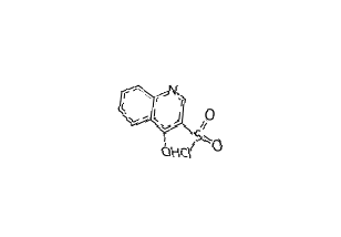 O=S(=O)(Cl)c1cnc2ccccc2c1O